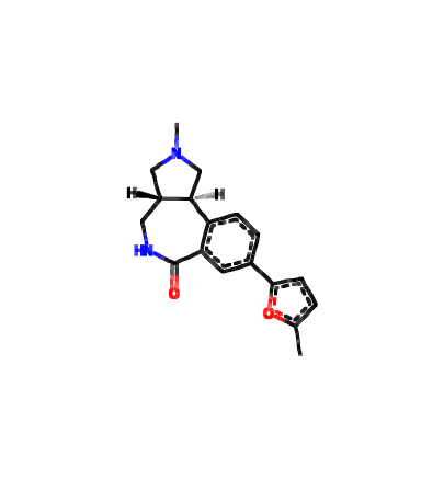 Cc1ccc(-c2ccc3c(c2)C(=O)NC[C@@H]2CN(C)C[C@@H]32)o1